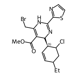 CCC1C=C[C@@H](C2N=C(c3nccs3)NC(CBr)=C2C(=O)OC)C(Cl)C1